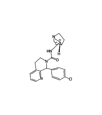 O=C(N[C@@H]1CN2CCC1CC2)N1CCc2cccnc2C1c1ccc(Cl)cc1